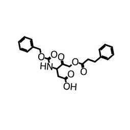 O=C(O)CC(NC(=O)OCc1ccccc1)C(=O)COC(=O)CCc1ccccc1